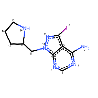 Nc1ncnc2c1c(I)nn2CC1CCCN1